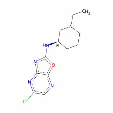 CCN1CCC[C@@H](Nc2nc3nc(Cl)cnc3o2)C1